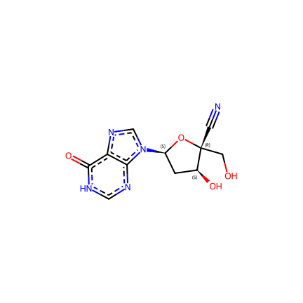 N#C[C@]1(CO)O[C@H](n2cnc3c(=O)[nH]cnc32)C[C@@H]1O